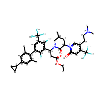 CCOC(=O)C[C@H](NC(=O)C(CC(C)C)n1cc(CCN(C)C)c(C(F)(F)F)cc1=O)c1c(F)c(-c2c(C)cc(C3CC3)cc2C)cc(C(F)(F)F)c1F